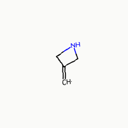 [CH]=C1CNC1